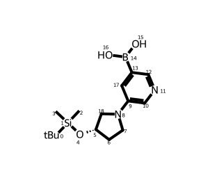 CC(C)(C)[Si](C)(C)O[C@H]1CCN(c2cncc(B(O)O)c2)C1